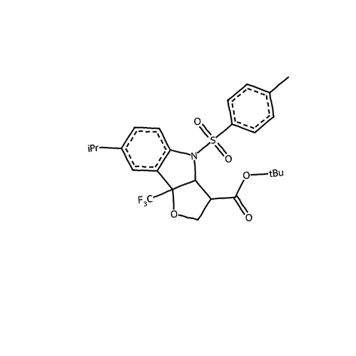 Cc1ccc(S(=O)(=O)N2c3ccc(C(C)C)cc3C3(C(F)(F)F)OCC(C(=O)OC(C)(C)C)C23)cc1